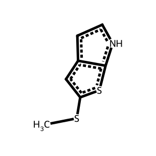 CSc1cc2cc[nH]c2s1